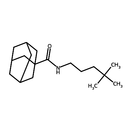 CC(C)(C)CCCNC(=O)C12CC3CC(CC(C3)C1)C2